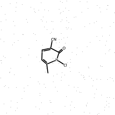 Cc1ccc(C#N)c(=O)n1Cl